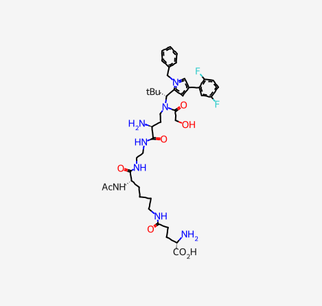 CC(=O)N[C@@H](CCCCNC(=O)CC[C@H](N)C(=O)O)C(=O)NCCNC(=O)[C@@H](N)CCN(C(=O)CO)[C@@H](c1cc(-c2cc(F)ccc2F)cn1Cc1ccccc1)C(C)(C)C